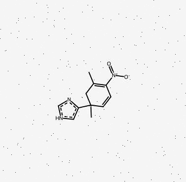 CC1=C([N+](=O)[O-])C=CC(C)(c2c[nH]cn2)C1